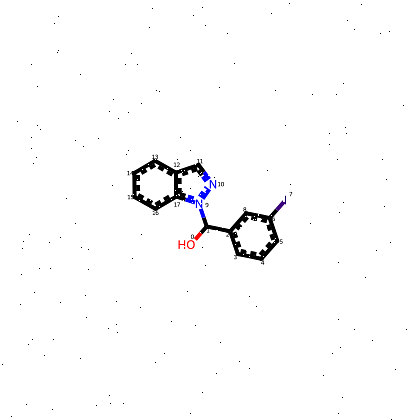 OC(c1cccc(I)c1)n1ncc2ccccc21